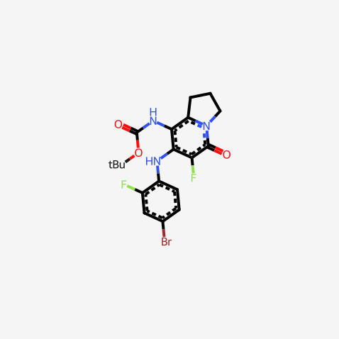 CC(C)(C)OC(=O)Nc1c(Nc2ccc(Br)cc2F)c(F)c(=O)n2c1CCC2